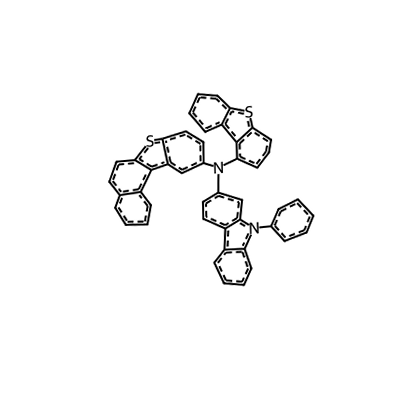 c1ccc(-n2c3ccccc3c3ccc(N(c4ccc5sc6ccc7ccccc7c6c5c4)c4cccc5sc6ccccc6c45)cc32)cc1